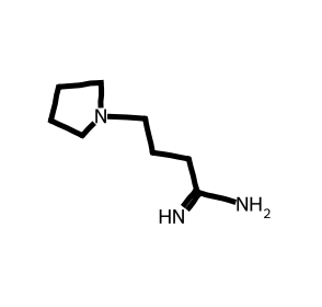 N=C(N)CCCN1CCCC1